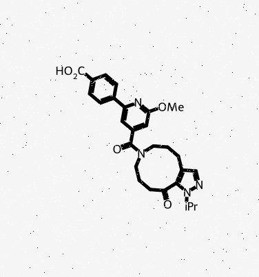 COc1cc(C(=O)N2CCCC(=O)c3c(cnn3C(C)C)CCC2)cc(-c2ccc(C(=O)O)cc2)n1